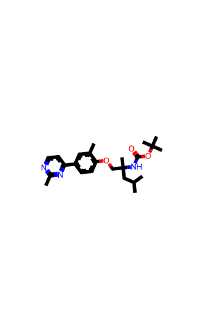 Cc1nccc(-c2ccc(OCC(C)(CC(C)C)NC(=O)OC(C)(C)C)c(C)c2)n1